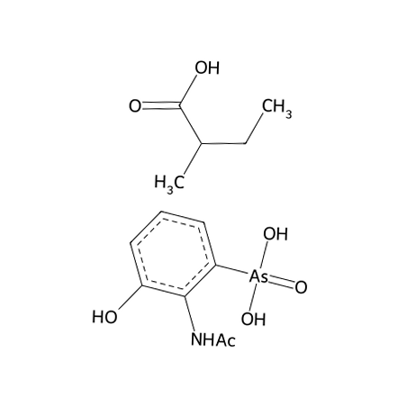 CC(=O)Nc1c(O)cccc1[As](=O)(O)O.CCC(C)C(=O)O